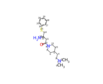 CN(C)CCC1CCN(C(=O)C[C@@H](N)CSc2ccccc2)CC1